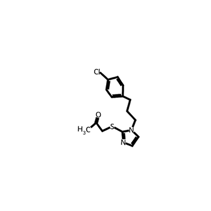 CC(=O)CSc1nccn1CCCc1ccc(Cl)cc1